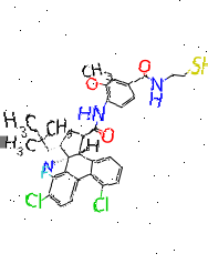 COc1cc(C(=O)NCCS)ccc1NC(=O)[C@@H]1C[C@@H](CC(C)(C)C)[C@]2(C#N)c3c(ccc(Cl)c3F)-c3c(Cl)cccc3[C@@H]12